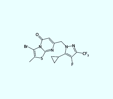 Cc1sc2nc(Cn3nc(C(F)(F)F)c(F)c3C3CC3)cc(=O)n2c1Br